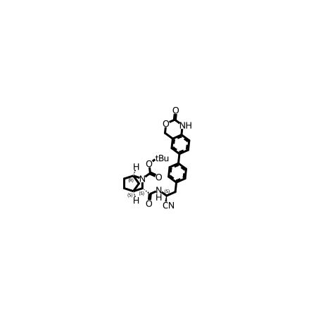 CC(C)(C)OC(=O)N1[C@@H]2CC[C@@H](C2)[C@H]1C(=O)N[C@H](C#N)Cc1ccc(-c2ccc3c(c2)COC(=O)N3)cc1